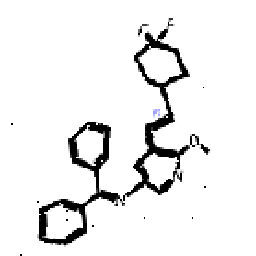 COc1ncc(N=C(c2ccccc2)c2ccccc2)cc1/C=C/C1CCC(F)(F)CC1